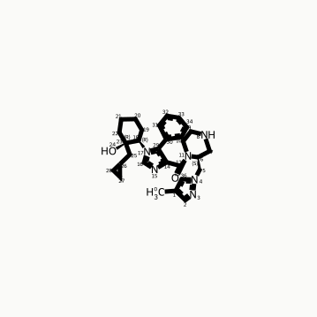 Cc1cnn(C[C@@H]2CNCCN2C(=O)c2ncn([C@@H]3CCCC[C@@]3(O)CC3CC3)c2-c2ccccc2)c1